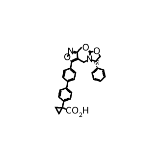 Cc1noc(-c2ccc(-c3ccc(C4(C(=O)O)CC4)cc3)cc2)c1CN1C(=O)OC[C@@H]1c1ccccc1